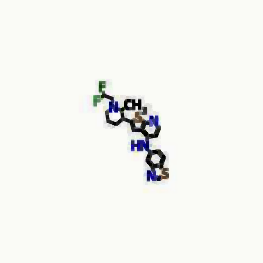 CC1C(c2cc3c(Nc4ccc5scnc5c4)ccnc3s2)CCCN1CC(F)F